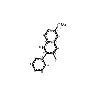 [CH2]c1cc2cc(OC)ccc2nc1-c1ccccc1